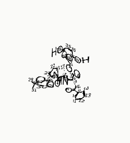 CCOC(=O)[C@H](CC(=O)c1ccccc1)N[C@@H](C)C(=O)N1CCC[C@H]1C(=O)OC(C)(C)C.O=C(O)/C=C\C(=O)O